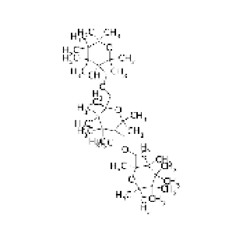 CC1(C)O[C@@](C)(COC[C@]2(C)C(C)(C)O[C@@](C)(COC[C@]3(C)C(C)(C)OC(C)(C)C(C)(C)C3(C)C)C(C)(C)C2(C)C)C(C)(C)C(C)(C)C1(C)C